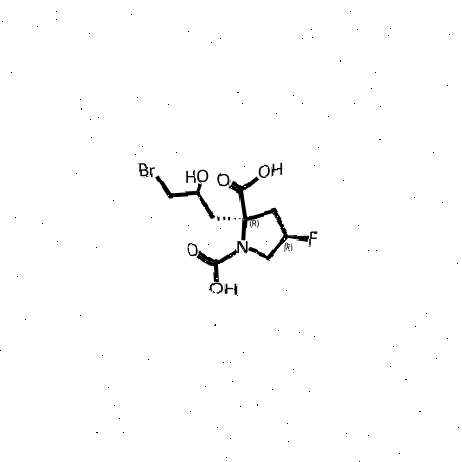 O=C(O)N1C[C@H](F)C[C@]1(CC(O)CBr)C(=O)O